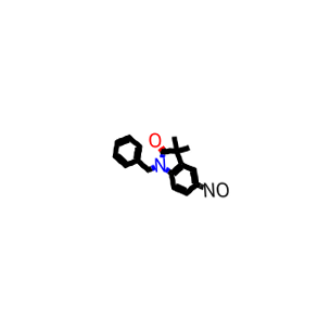 CC1(C)C(=O)N(Cc2ccccc2)c2ccc(N=O)cc21